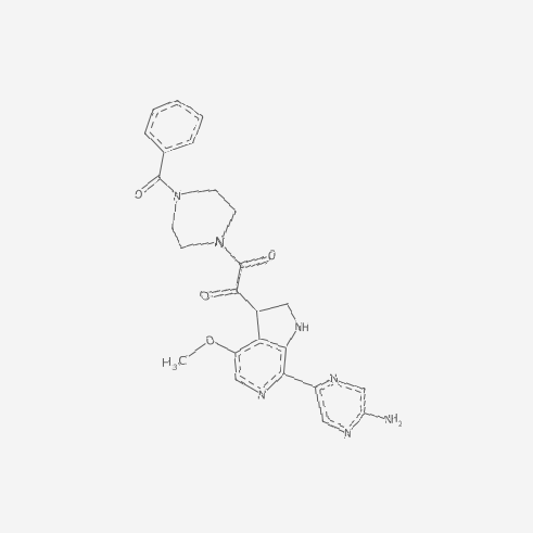 COc1cnc(-c2cnc(N)cn2)c2c1C(C(=O)C(=O)N1CCN(C(=O)c3ccccc3)CC1)CN2